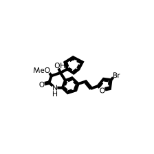 COC1C(=O)Nc2ccc(C=Cc3cc(Br)co3)cc2C1(O)c1ccccc1